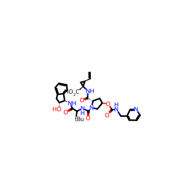 C=C[C@@H]1C[C@]1(NC(=O)[C@@H]1C[C@@H](OC(=O)NCc2cccnc2)CN1C(=O)NC(C(=O)N[C@H]1c2ccccc2C[C@H]1O)C(C)(C)C)C(=O)O